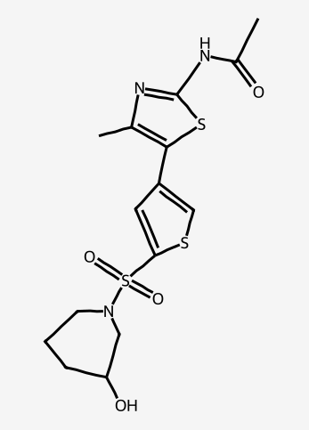 CC(=O)Nc1nc(C)c(-c2csc(S(=O)(=O)N3CCCC(O)C3)c2)s1